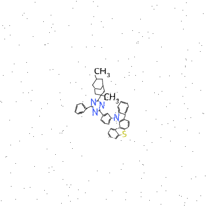 CCC1CC2CC(C1)CC(C)(c1nc(-c3ccccc3)nc(-c3cccc(-n4c5ccccc5c5ccc6sc7ccccc7c6c54)c3)n1)C2